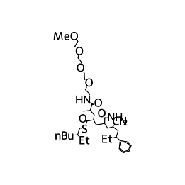 CCCCC(CC)CSC(=O)C(CC(C)C(=O)NCCOCCOCCOCCOC)CC(CC(C#N)CC(CC)c1ccccc1)C(N)=O